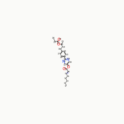 CCCCC/C=C/C(=O)Oc1cnc(-c2ccc(CCC(C)OC(=O)CC)cc2)nc1